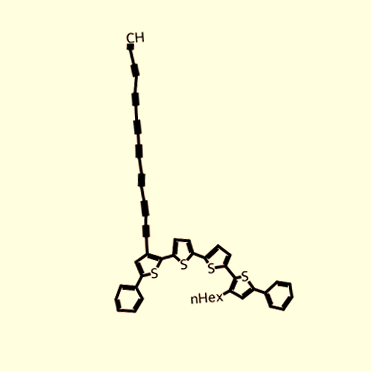 C#CC#CC#CC#CC#CC#CC#CC#Cc1cc(-c2ccccc2)sc1-c1ccc(-c2ccc(-c3sc(-c4ccccc4)cc3CCCCCC)s2)s1